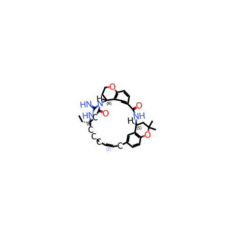 CC[C@]12CCC/C=C\Cc3ccc4c(c3)[C@H](CC(C)(C)O4)NC(=O)c3ccc4c(c3)[C@@H](CCO4)N(C(=N)N1)C(=O)C2